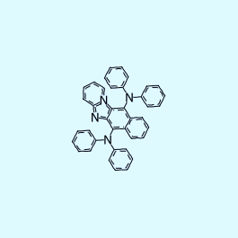 c1ccc(N(c2ccccc2)c2c3ccccc3c(N(c3ccccc3)c3ccccc3)c3c2nc2ccccn23)cc1